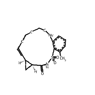 Cc1cccc2c1S(=O)(=O)NC(=O)[C@H]1C[C@H]1/C=C\CCCCCN2